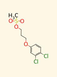 CS(=O)(=O)OCCCOc1ccc(Cl)c(Cl)c1